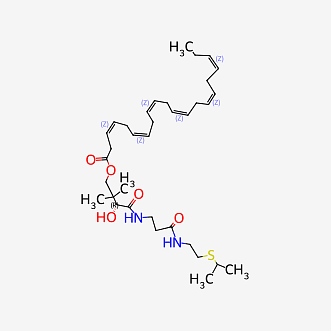 CC/C=C\C/C=C\C/C=C\C/C=C\C/C=C\C/C=C\CC(=O)OCC(C)(C)[C@@H](O)C(=O)NCCC(=O)NCCSC(C)C